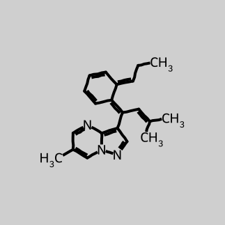 CC/C=c1\cccc\c1=C(\C=C(C)C)c1cnn2cc(C)cnc12